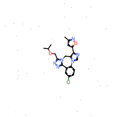 Cc1cc(-c2ncn3c2Cn2c(COC(C)C)nnc2-c2cc(Cl)ccc2-3)on1